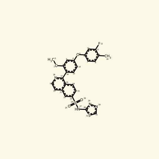 COc1cc(Oc2ccc(C)c(F)c2)ccc1-c1nccc2cc(S(=O)(=O)Nc3nncs3)ccc12